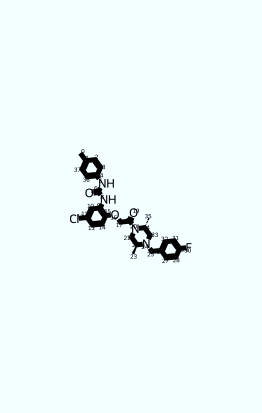 Cc1ccc(NC(=O)Nc2cc(Cl)ccc2OCC(=O)N2C[C@H](C)N(Cc3ccc(F)cc3)C[C@H]2C)cc1